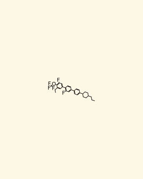 CCCC1CCC(c2ccc(-c3ccc(-c4cc(F)c(OC(F)(F)F)c(CC)c4)c(F)c3)cc2)CC1